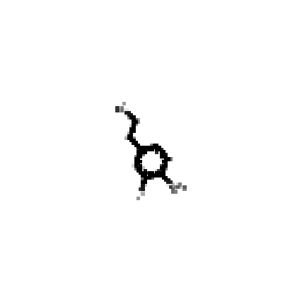 CCc1cc(CCC(C)(C)C)ccc1OC